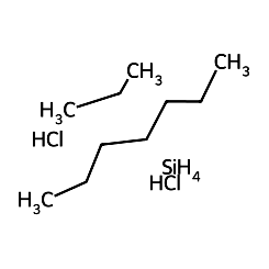 CCC.CCCCCCC.Cl.Cl.[SiH4]